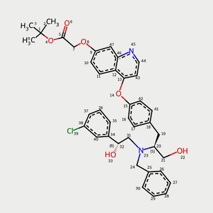 CC(C)(C)OC(=O)COc1ccc2c(Oc3ccc(C[C@@H](CO)N(Cc4ccccc4)C[C@H](O)c4cccc(Cl)c4)cc3)ccnc2c1